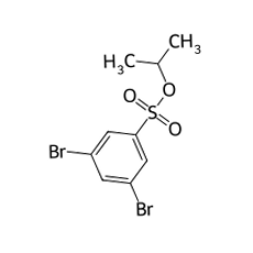 CC(C)OS(=O)(=O)c1cc(Br)cc(Br)c1